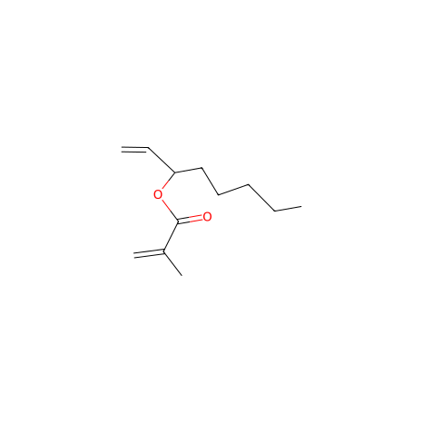 C=CC(CCCCC)OC(=O)C(=C)C